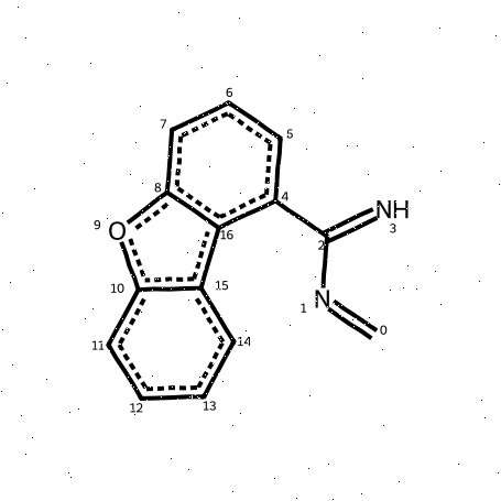 C=NC(=N)c1cccc2oc3ccccc3c12